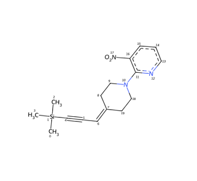 C[Si](C)(C)C#CC=C1CCN(c2ncccc2[N+](=O)[O-])CC1